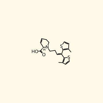 Cc1ccsc1C(=CCCN1CCC=C[C@@H]1C(=O)O)c1sccc1C